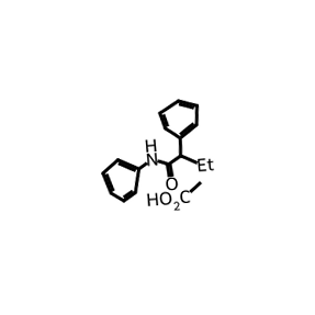 CC(=O)O.CCC(C(=O)Nc1ccccc1)c1ccccc1